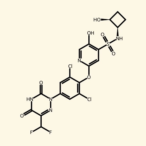 O=c1[nH]c(=O)n(-c2cc(Cl)c(Oc3cc(S(=O)(=O)N[C@@H]4CC[C@@H]4O)c(O)cn3)c(Cl)c2)nc1C(F)F